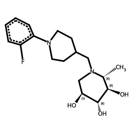 C[C@@H]1[C@@H](O)[C@H](O)[C@@H](O)CN1CC1CCN(c2ccccc2F)CC1